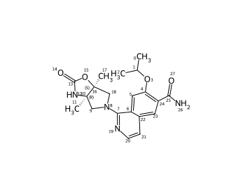 CC(C)Oc1cc2c(N3C[C@@]4(C)NC(=O)O[C@@]4(C)C3)nccc2cc1C(N)=O